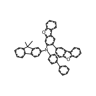 CC1(C)c2ccccc2-c2ccc(N(c3ccc(-c4ccccc4)cc3)c3cc4oc5ccccc5c4cc3-c3ccc4oc5ccccc5c4c3)cc21